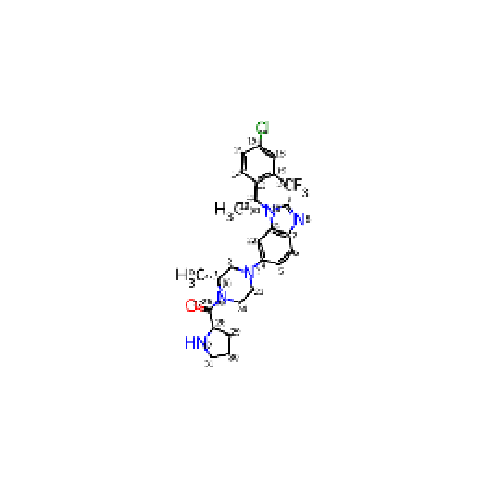 C[C@@H]1CN(c2ccc3ncn([C@H](C)c4ccc(Cl)cc4C(F)(F)F)c3c2)CCN1C(=O)C1CCCN1